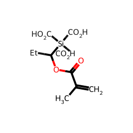 C=C(C)C(=O)OC(CC)[Si](C(=O)O)(C(=O)O)C(=O)O